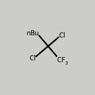 [CH2]CCCC(Cl)(Cl)C(F)(F)F